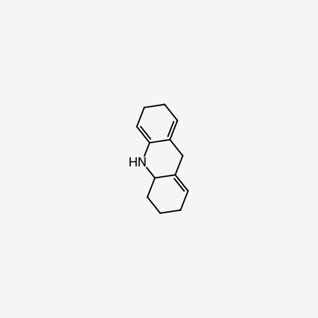 C1=C2CC3=CCCCC3NC2=CCC1